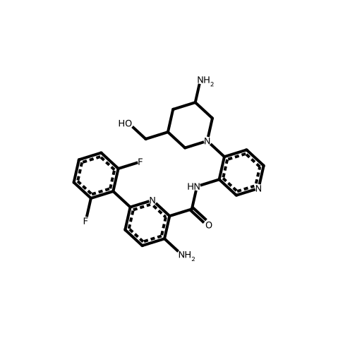 Nc1ccc(-c2c(F)cccc2F)nc1C(=O)Nc1cnccc1N1CC(N)CC(CO)C1